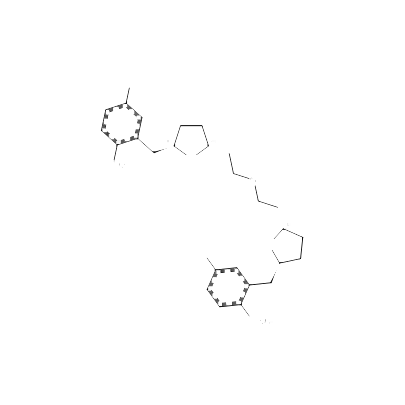 COc1ccc(F)cc1C[C@H]1CC[C@H](CCNCC[C@@H]2CC[C@@H](Cc3cc(F)ccc3OC)O2)O1